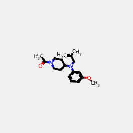 C=C(C)CN(c1cccc(OC)c1)C1CCN(C(C)=O)CC1